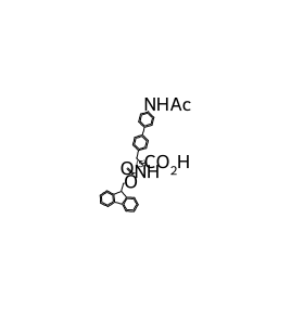 CC(=O)Nc1ccc(-c2ccc(C[C@H](NC(=O)OCC3c4ccccc4-c4ccccc43)C(=O)O)cc2)cc1